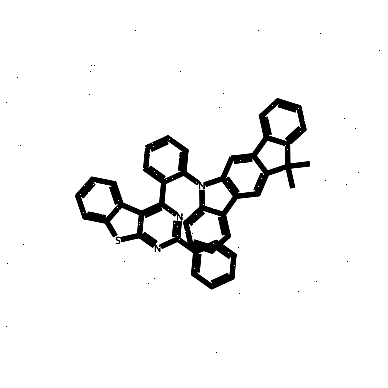 CC1(C)c2ccccc2-c2cc3c(cc21)c1ccccc1n3-c1ccccc1-c1nc(-c2ccccc2)nc2sc3ccccc3c12